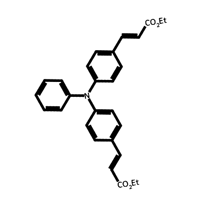 CCOC(=O)/C=C/c1ccc(N(c2ccccc2)c2ccc(/C=C/C(=O)OCC)cc2)cc1